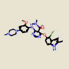 COc1cc(N2CCN(C)CC2)ccc1Nc1ncnc(Oc2ccc3[nH]c(C)cc3c2F)c1C(=O)N(C)C